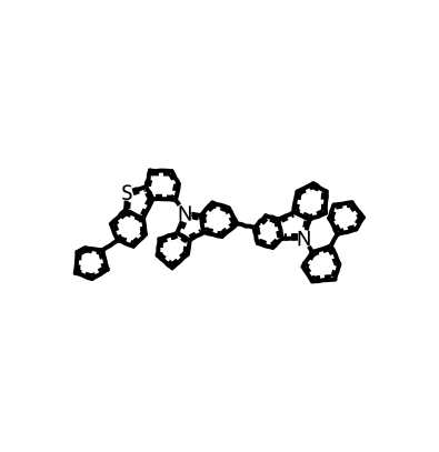 c1ccc(-c2ccc3c(c2)sc2cccc(-n4c5ccccc5c5cc(-c6ccc7c(c6)c6ccccc6n7-c6ccccc6-c6ccccc6)ccc54)c23)cc1